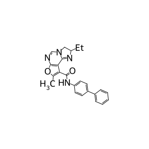 CCC1CN2C=Nc3oc(C)c(C(=O)Nc4ccc(-c5ccccc5)cc4)c3C2=N1